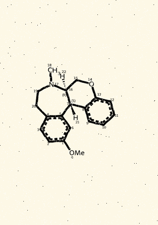 COc1ccc2c(c1)[C@H]1c3ccccc3OC[C@@H]1N(C)CC2